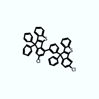 Clc1ccc2c(c1)-c1sc3ccccc3c1C2(c1ccccc1)c1cccc(-c2cc(Cl)cc3c2-c2sc4ccccc4c2C3(c2ccccc2)c2ccccc2)c1